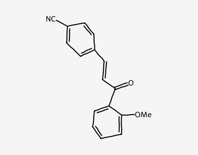 COc1ccccc1C(=O)/C=C/c1ccc(C#N)cc1